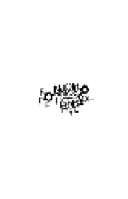 Cc1ccccc1C([SH]1C[C@H](O)[C@H](n2cc(-c3cc(F)c(F)c(F)c3)nn2)[C@@H](O)[C@H]1CO)C1(O)CC(C)C1